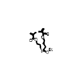 C=C(C)C(=O)OCCC[Si](C)(CCCOC(=O)C(=C)C)OCC